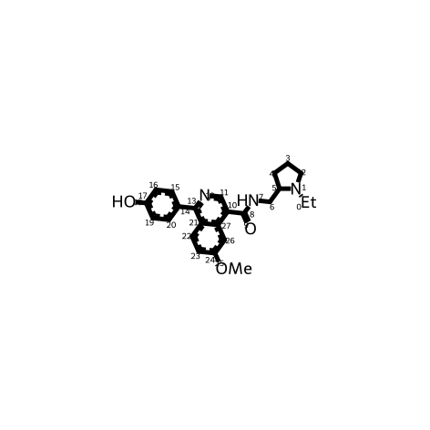 CCN1CCCC1CNC(=O)c1cnc(-c2ccc(O)cc2)c2ccc(OC)cc12